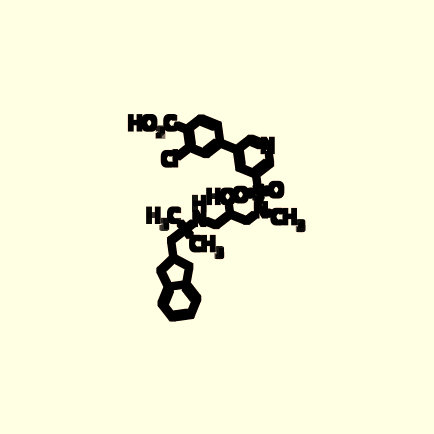 CN(CC(O)CNC(C)(C)CC1Cc2ccccc2C1)S(=O)(=O)c1cncc(-c2ccc(C(=O)O)c(Cl)c2)c1